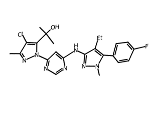 CCc1c(Nc2cc(-n3nc(C)c(Cl)c3C(C)(C)O)ncn2)nn(C)c1-c1ccc(F)cc1